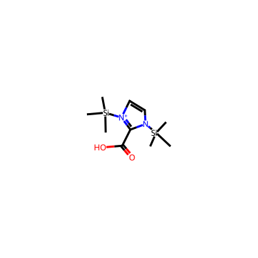 C[Si](C)(C)n1cc[n+]([Si](C)(C)C)c1C(=O)O